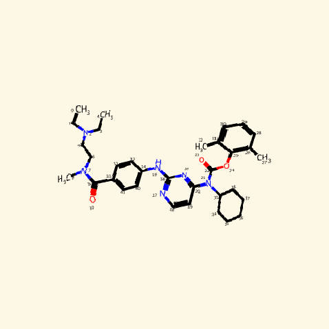 CCN(CC)CCN(C)C(=O)c1ccc(Nc2nccc(N(C(=O)Oc3c(C)cccc3C)C3CCCCC3)n2)cc1